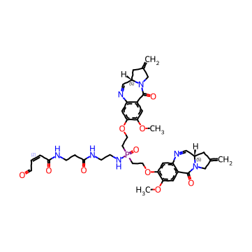 C=C1C[C@H]2C=Nc3cc(OCCP(=O)(CCOc4cc5c(cc4OC)C(=O)N4CC(=C)C[C@H]4C=N5)NCCNC(=O)CCNC(=O)/C=C\C=O)c(OC)cc3C(=O)N2C1